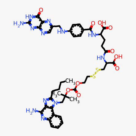 CCCCc1nc2c(N)nc3ccccc3c2n1CC(C)(C)OC(=O)OCCSSCC(NC(=O)CCC(NC(=O)c1ccc(NCc2cnc3nc(N)[nH]c(=O)c3n2)cc1)C(=O)O)C(=O)O